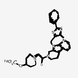 Cc1nc(-c2ccccc2)sc1Cn1c2c(c3cccnc31)CCN(C(=O)CN1CCC(OC(=O)O)CC1)C2